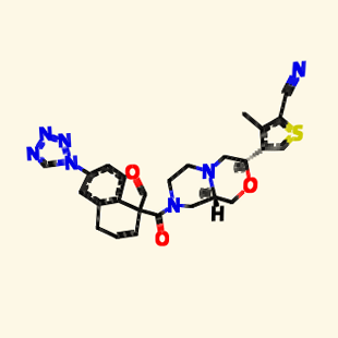 Cc1c([C@H]2CN3CCN(C(=O)C4(C=O)C=CCc5cc(-n6cnnn6)ccc54)C[C@H]3CO2)csc1C#N